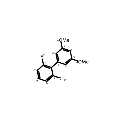 COc1cc(OC)cc(-c2c(F)c[c]cc2Cl)c1